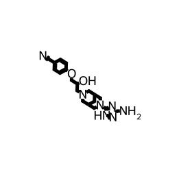 N#Cc1ccc(OCC(O)CN2CC3CC(C2)CN(c2nc(N)n[nH]2)C3)cc1